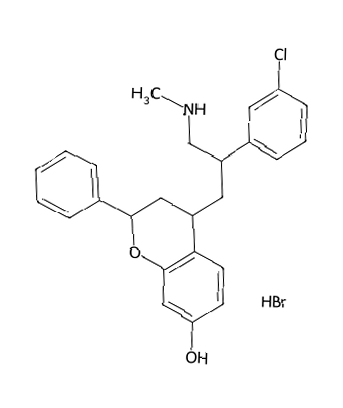 Br.CNCC(CC1CC(c2ccccc2)Oc2cc(O)ccc21)c1cccc(Cl)c1